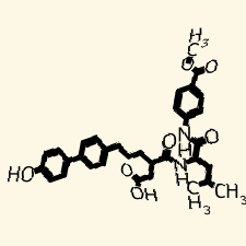 COC(=O)c1ccc(NC(=O)C(CC(C)C)NC(=O)C(CCCc2ccc(-c3ccc(O)cc3)cc2)CC(=O)O)cc1